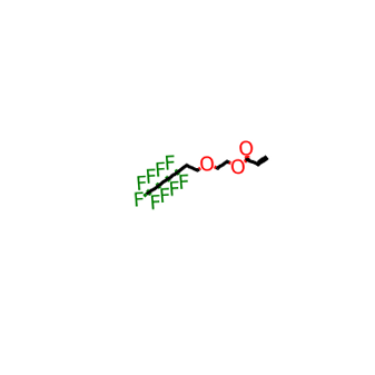 C=CC(=O)OCCOCCC(F)(F)C(F)(F)C(F)(F)C(F)(F)F